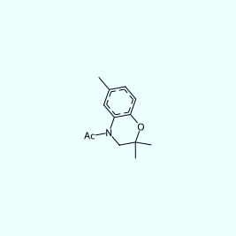 CC(=O)N1CC(C)(C)Oc2ccc(C)cc21